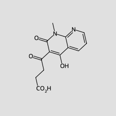 Cn1c(=O)c(C(=O)CCC(=O)O)c(O)c2cccnc21